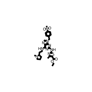 CCOC(=O)c1sc(Nc2nc(NCCC3CCCN3C)c3ncn(Cc4ccc(S(C)(=O)=O)cc4)c3n2)nc1C